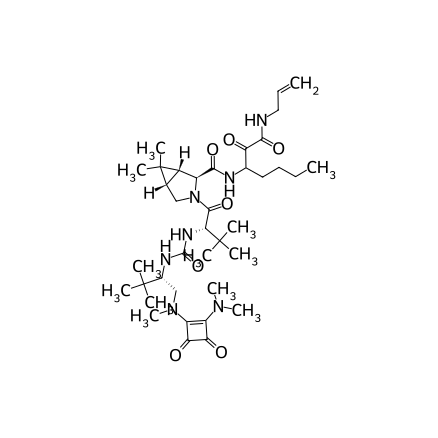 C=CCNC(=O)C(=O)C(CCCC)NC(=O)[C@@H]1[C@@H]2[C@H](CN1C(=O)[C@@H](NC(=O)N[C@H](CN(C)c1c(N(C)C)c(=O)c1=O)C(C)(C)C)C(C)(C)C)C2(C)C